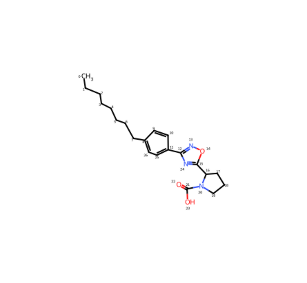 CCCCCCCCc1ccc(-c2noc(C3CCCN3C(=O)O)n2)cc1